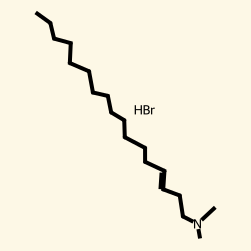 Br.CCCCCCCCCCCCCC=CCCN(C)C